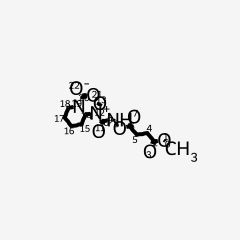 COC(=O)CCC(=O)ONC(=O)[N+](=O)C1CCCCN1C(=O)[O-]